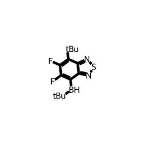 CC(C)(C)Bc1c(F)c(F)c(C(C)(C)C)c2nsnc12